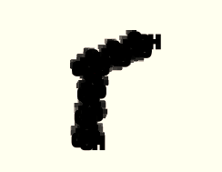 COc1c(C)c(OC)c(C(=O)Oc2c(C)c(C)c(C(=O)Oc3c(C)c(C)c(C(=O)O)c(OC)c3C)c(OC)c2C)c(C)c1Cc1c(C)c(C(=O)Oc2c(C)c(C)c(C(=O)Oc3c(C)c(C)c(C(=O)O)c(OC)c3C)c(OC)c2C)c(OC)c(C)c1OC